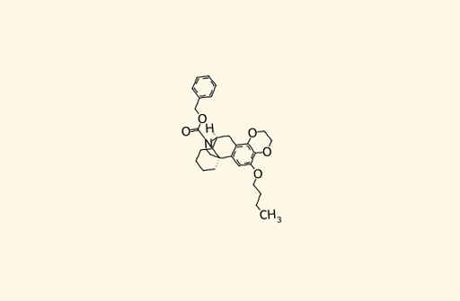 CCCCOc1cc2c(c3c1OCCO3)C[C@H]1C3CCCC[C@@]23CCN1C(=O)OCc1ccccc1